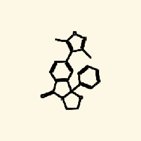 Cc1noc(C)c1-c1ccc2c(c1)C1(c3ccccc3)OCCN1C2=O